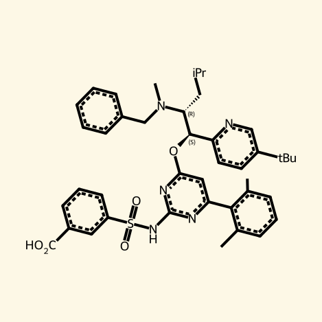 Cc1cccc(C)c1-c1cc(O[C@H](c2ccc(C(C)(C)C)cn2)[C@@H](CC(C)C)N(C)Cc2ccccc2)nc(NS(=O)(=O)c2cccc(C(=O)O)c2)n1